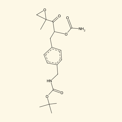 CC(C)(C)OC(=O)NCc1ccc(CC(OC(N)=O)C(=O)C2(C)CO2)cc1